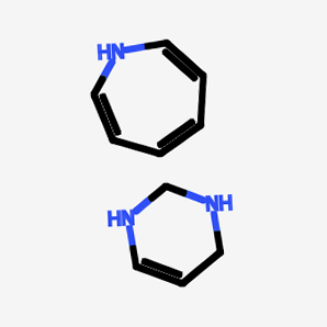 C1=CC=CNC=C1.C1=CNCNC1